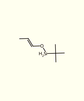 CC=CO[SiH2]C(C)(C)C